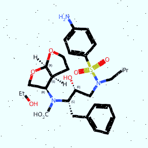 CC(C)CN(C[C@@H](O)[C@H](Cc1ccccc1)N(C(=O)O)[C@H]1CO[C@H]2OCC[C@H]21)S(=O)(=O)c1ccc(N)cc1.CCO